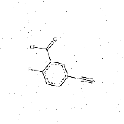 N#Cc1ccc(F)c(C(=O)Cl)c1